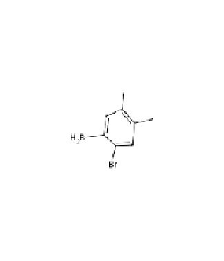 Bc1cc(C)c(C)cc1Br